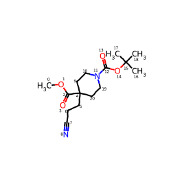 COC(=O)C1(CCC#N)CCN(C(=O)OC(C)(C)C)CC1